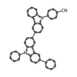 N#Cc1ccc(-n2c3ccccc3c3cc(-c4ccc5c(c4)c4cc(-c6ccccc6)ccc4n5-c4ccccc4)ccc32)cc1